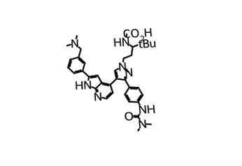 CN(C)Cc1cccc(-c2cc3c(-c4cn(CCC(NC(=O)O)C(C)(C)C)nc4-c4ccc(NC(=O)N(C)C)cc4)ccnc3[nH]2)c1